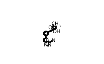 CN1CC[C@@](O)(C#Cc2cccc(-c3ccc4ncnc(C#N)c4n3)c2)C1=O